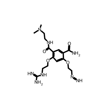 CN(C)CCNC(=O)c1cc(C(N)=O)c(OCCN=N)cc1OCCNC(=N)N